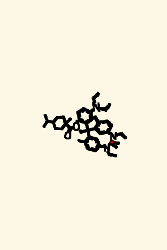 CCN(CC)c1ccc(C)c(C(COC(=O)C2(C)CCC(C(C)C)CC2)(c2cc(N(CC)CC)ccc2C)c2cc(N(CC)CC)ccc2C)c1